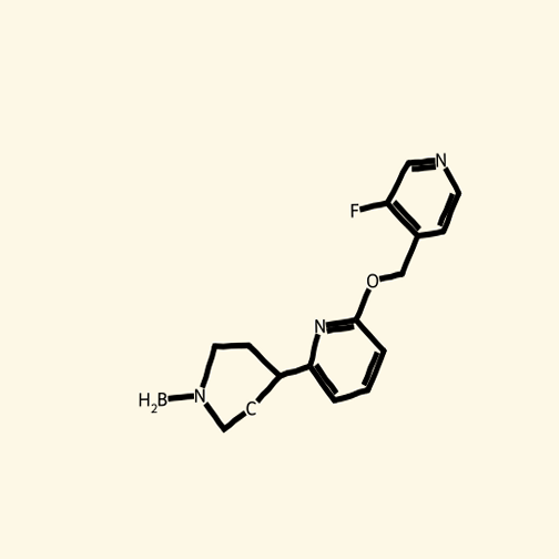 BN1CCC(c2cccc(OCc3ccncc3F)n2)CC1